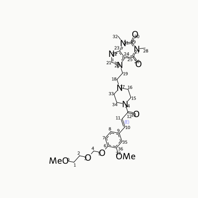 COCCOCOc1ccc(/C=C/C(=O)N2CCN(CCn3cnc4c3c(=O)n(C)c(=O)n4C)CC2)cc1OC